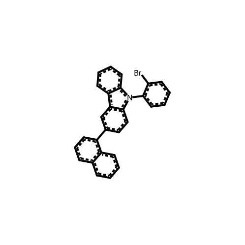 Brc1ccccc1-n1c2ccccc2c2cc(-c3cccc4ccccc34)ccc21